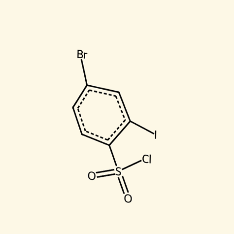 O=S(=O)(Cl)c1ccc(Br)cc1I